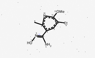 CCc1cc(/C(N)=N/O)c(C)nc1OC